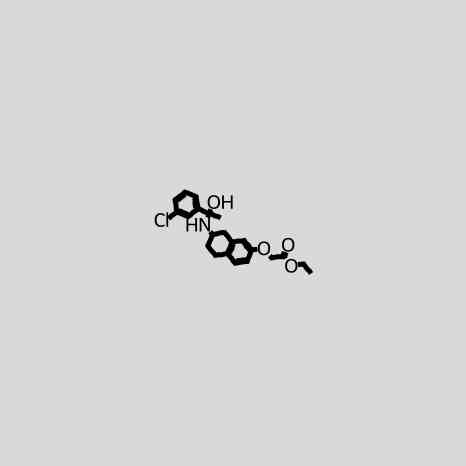 CCOC(=O)COc1ccc2c(c1)CC(NC(C)(O)c1cccc(Cl)c1)CC2